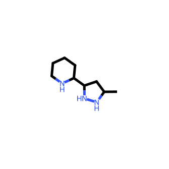 CC1CC(C2CCCCN2)NN1